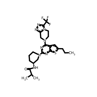 CCCc1cc2c(N3CCn4c(nnc4C(F)(F)F)C3)nc(N3CCC[C@H](NC(=O)C(C)C)C3)nc2s1